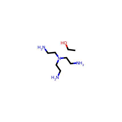 CCO.NCCN(CCN)CCN